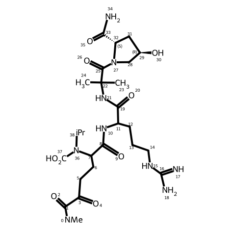 CNC(=O)C(=O)CCC(C(=O)NC(CCCNC(=N)N)C(=O)NC(C)(C)C(=O)N1C[C@H](O)C[C@H]1C(N)=O)N(C(=O)O)C(C)C